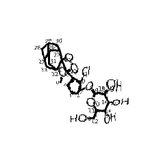 COC1(c2cccc(OC3OC(CO)C(O)C(O)C3O)c2Cl)OOC12C1CC3CC(C1)CC2C3